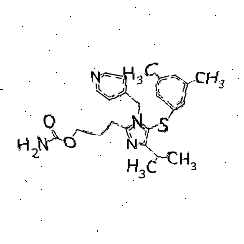 Cc1cc(C)cc(Sc2c(C(C)C)nc(CCCOC(N)=O)n2Cc2ccncc2)c1